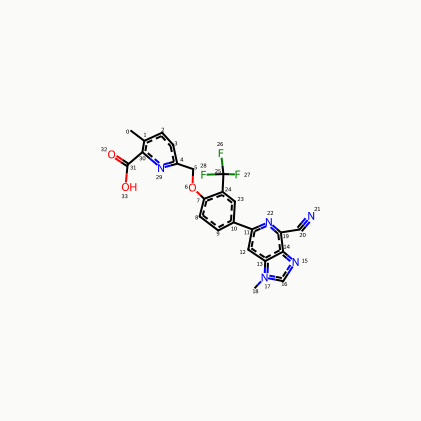 Cc1ccc(COc2ccc(-c3cc4c(ncn4C)c(C#N)n3)cc2C(F)(F)F)nc1C(=O)O